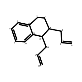 C=CCC1CCc2ccccc2C1CC=C